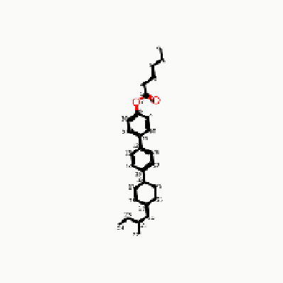 CCCCCC(=O)Oc1ccc(-c2ccc(C3CCC(CC(C)CC)CC3)cc2)cc1